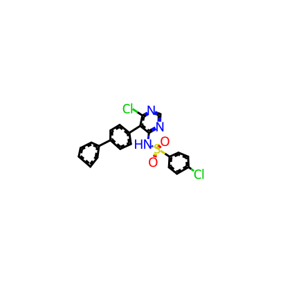 O=S(=O)(Nc1ncnc(Cl)c1-c1ccc(-c2ccccc2)cc1)c1ccc(Cl)cc1